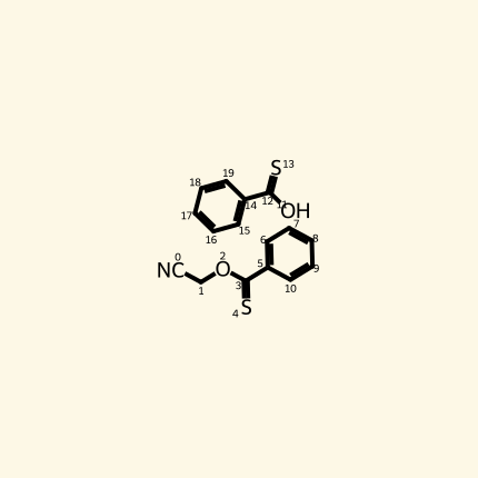 N#CCOC(=S)c1ccccc1.OC(=S)c1ccccc1